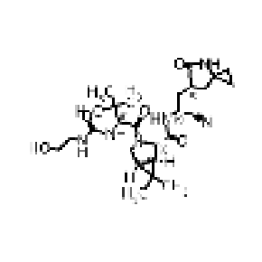 CC(C)(C)[C@H](NC(=O)NCCO)C(=O)N1C[C@H]2[C@@H]([C@H]1C(=O)N[C@H](C#N)C[C@@H]1CC3(CC3)NC1=O)C2(C)C